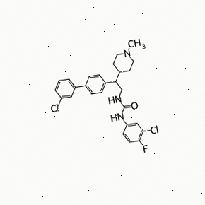 CN1CCC(C(CNC(=O)Nc2ccc(F)c(Cl)c2)c2ccc(-c3cccc(Cl)c3)cc2)CC1